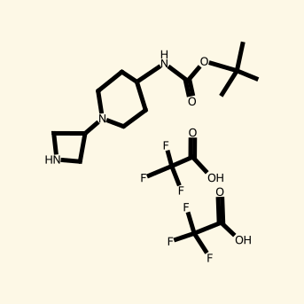 CC(C)(C)OC(=O)NC1CCN(C2CNC2)CC1.O=C(O)C(F)(F)F.O=C(O)C(F)(F)F